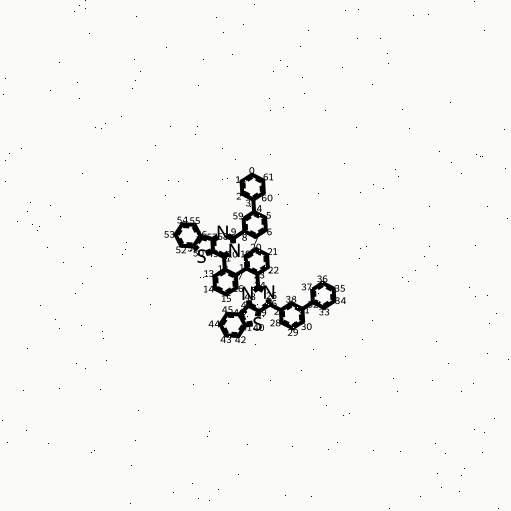 c1ccc(-c2cccc(-c3nc(-c4ccccc4-c4ccccc4-c4nc(-c5cccc(-c6ccccc6)c5)c5sc6ccccc6c5n4)c4sc5ccccc5c4n3)c2)cc1